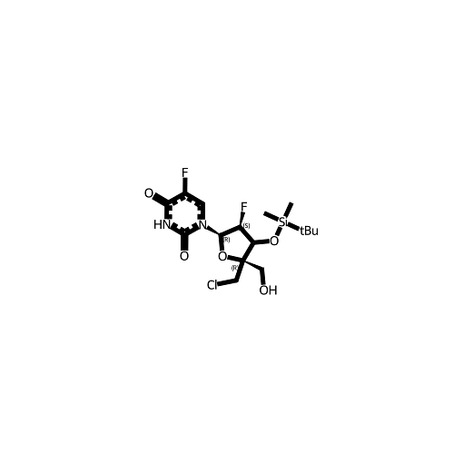 CC(C)(C)[Si](C)(C)OC1[C@H](F)[C@H](n2cc(F)c(=O)[nH]c2=O)O[C@@]1(CO)CCl